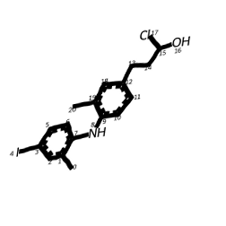 Cc1cc(I)ccc1Nc1ccc(CCC(O)Cl)cc1C